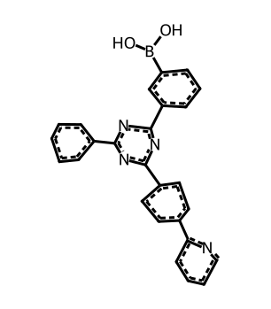 OB(O)c1cccc(-c2nc(-c3ccccc3)nc(-c3ccc(-c4ccccn4)cc3)n2)c1